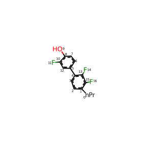 CCCc1ccc(-c2ccc(O)c(F)c2)c(F)c1F